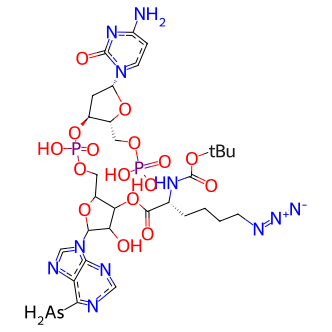 CC(C)(C)OC(=O)N[C@H](CCCCN=[N+]=[N-])C(=O)OC1C(COP(=O)(O)O[C@H]2C[C@H](n3ccc(N)nc3=O)O[C@@H]2COP(=O)(O)O)OC(n2cnc3c([AsH2])ncnc32)C1O